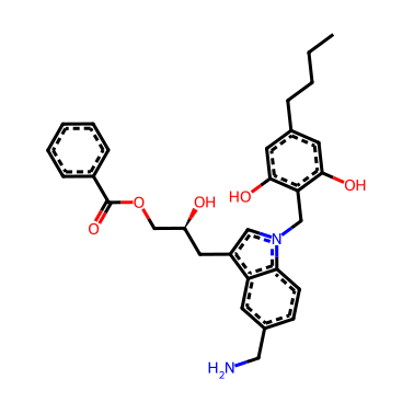 CCCCc1cc(O)c(Cn2cc(C[C@H](O)COC(=O)c3ccccc3)c3cc(CN)ccc32)c(O)c1